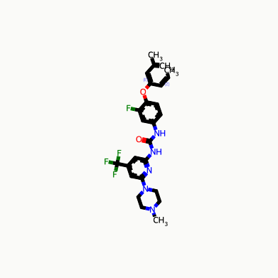 C=C(C)/C=C(\C=C/C)Oc1ccc(NC(=O)Nc2cc(C(F)(F)F)cc(N3CCN(C)CC3)n2)cc1F